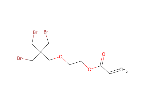 C=CC(=O)OCCOCC(CBr)(CBr)CBr